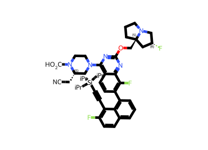 CC(C)[Si](C#Cc1c(F)ccc2cccc(-c3ccc4c(N5CCN(C(=O)O)[C@@H](CC#N)C5)nc(OC[C@@]56CCCN5C[C@H](F)C6)nc4c3F)c12)(C(C)C)C(C)C